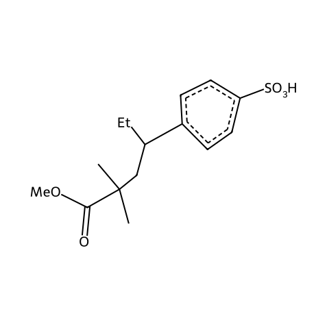 CCC(CC(C)(C)C(=O)OC)c1ccc(S(=O)(=O)O)cc1